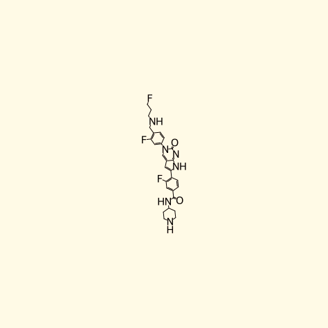 O=C(NC1CCNCC1)c1ccc(-c2cc3cn(-c4ccc(CNCCCF)c(F)c4)c(=O)nc3[nH]2)c(F)c1